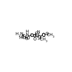 COc1ccc(-c2c(C)sc(N3C(=O)c4ccc(C(=O)N[C@@H](CC(N)=O)C(=O)O)cc4C3=O)c2C#N)cc1